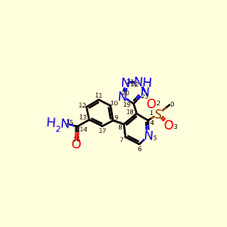 CS(=O)(=O)c1nccc(-c2cccc(C(N)=O)c2)c1-c1nn[nH]n1